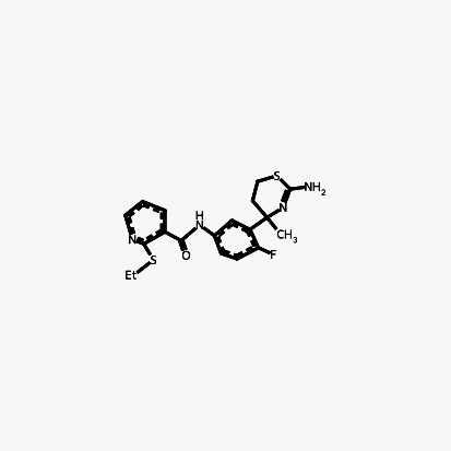 CCSc1ncccc1C(=O)Nc1ccc(F)c(C2(C)CCSC(N)=N2)c1